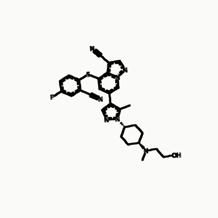 Cc1c(-c2cc(Sc3ccc(F)cc3C#N)c3c(C#N)cnn3c2)cnn1[C@H]1CC[C@H](N(C)CCO)CC1